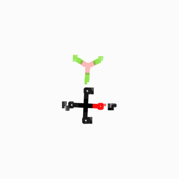 FB(F)F.N#CC([O-])(C#N)C(F)(F)F.[Li+]